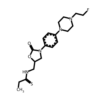 CCC(=S)NCC1CN(c2ccc(N3CCN(CCF)CC3)cc2)C(=O)O1